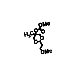 COCCC1OCC(C)(OC(=O)OC)CO1